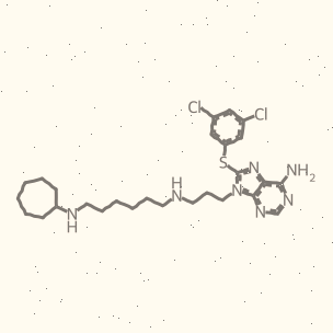 Nc1ncnc2c1nc(Sc1cc(Cl)cc(Cl)c1)n2CCCNCCCCCCNC1CCCCCC1